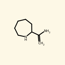 C=C(N)C1CCCCCN1